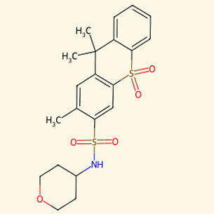 Cc1cc2c(cc1S(=O)(=O)NC1CCOCC1)S(=O)(=O)c1ccccc1C2(C)C